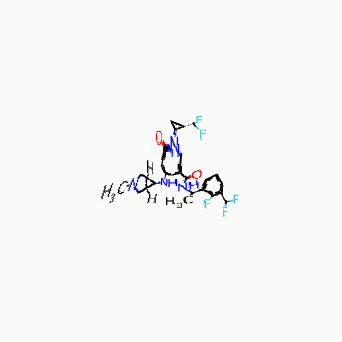 C[C@@H](NC(=O)c1cn([C@H]2C[C@@H]2C(F)F)c(=O)cc1N[C@H]1[C@@H]2CN(C)C[C@@H]21)c1cccc(C(F)F)c1F